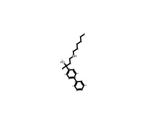 CCCCCCNCCC(C)(O)c1ccc(-c2ccccc2)cc1